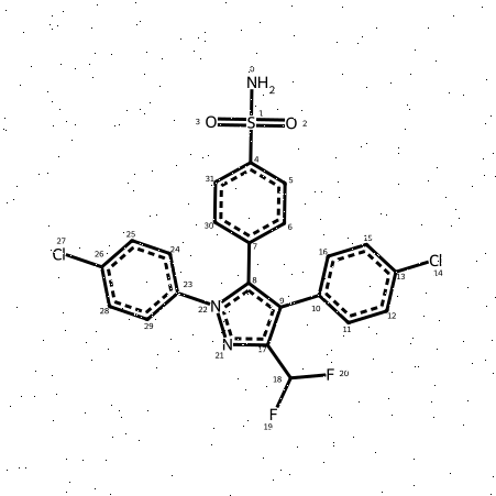 NS(=O)(=O)c1ccc(-c2c(-c3ccc(Cl)cc3)c(C(F)F)nn2-c2ccc(Cl)cc2)cc1